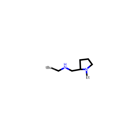 CCN1CCCC1CNCC(C)(C)C